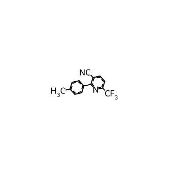 Cc1ccc(-c2nc(C(F)(F)F)ccc2C#N)cc1